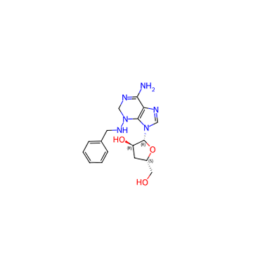 NC1=NCN(NCc2ccccc2)c2c1ncn2[C@@H]1O[C@H](CO)C[C@H]1O